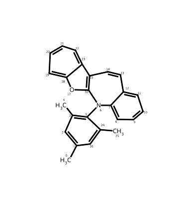 Cc1cc(C)c(N2c3ccccc3C=Cc3c2oc2ccccc32)c(C)c1